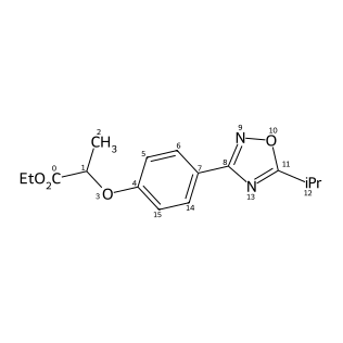 CCOC(=O)C(C)Oc1ccc(-c2noc(C(C)C)n2)cc1